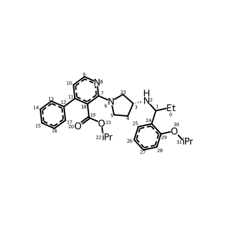 CCC(N[C@@H]1CCN(c2nccc(-c3ccccc3)c2C(=O)OC(C)C)C1)c1ccccc1OC(C)C